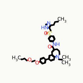 CCCCOCCOc1ccc(-c2ccc3c(c2)C=C(C(=O)Nc2ccc([S+]([O-])Cc4[nH]cnc4CCCC)cc2)CCCN3CC(C)C)cc1